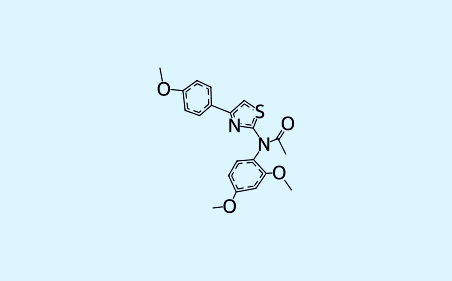 COc1ccc(-c2csc(N(C(C)=O)c3ccc(OC)cc3OC)n2)cc1